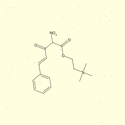 C[Si](C)(C)CCOC(=O)C(C(=O)C=Cc1ccccc1)[N+](=O)[O-]